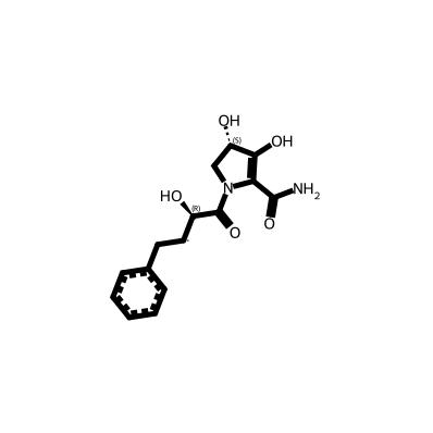 NC(=O)C1=C(O)[C@@H](O)CN1C(=O)[C@H](O)[CH]Cc1ccccc1